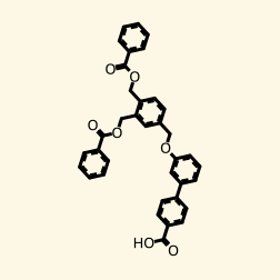 O=C(O)c1ccc(-c2cccc(OCc3ccc(COC(=O)c4ccccc4)c(COC(=O)c4ccccc4)c3)c2)cc1